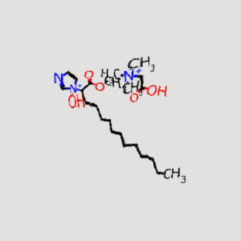 CCCCCCCCCCCCC(C(=O)OC)[N+]1(O)C=CN=C1.C[N+](C)(C)CC(=O)O